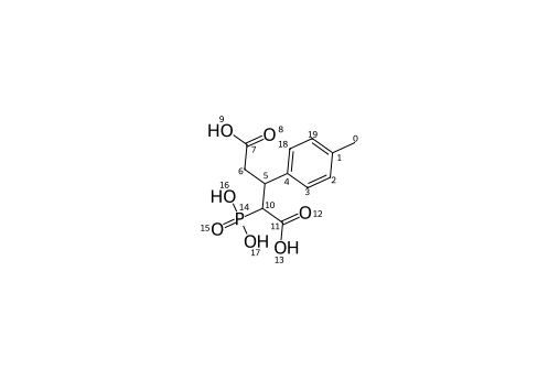 Cc1ccc(C(CC(=O)O)C(C(=O)O)P(=O)(O)O)cc1